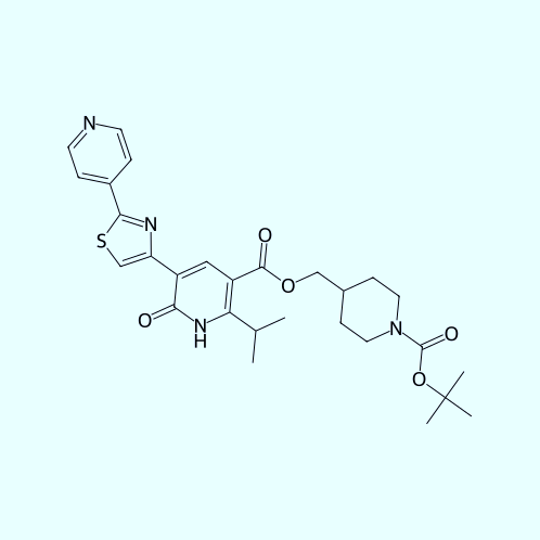 CC(C)c1[nH]c(=O)c(-c2csc(-c3ccncc3)n2)cc1C(=O)OCC1CCN(C(=O)OC(C)(C)C)CC1